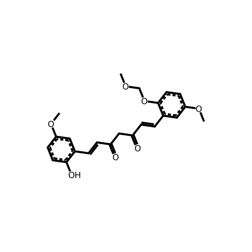 COCOc1ccc(OC)cc1/C=C/C(=O)CC(=O)/C=C/c1cc(OC)ccc1O